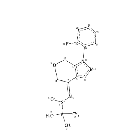 CC(C)(C)[S+]([O-])N=C1COCc2c1cnn2-c1ccccc1F